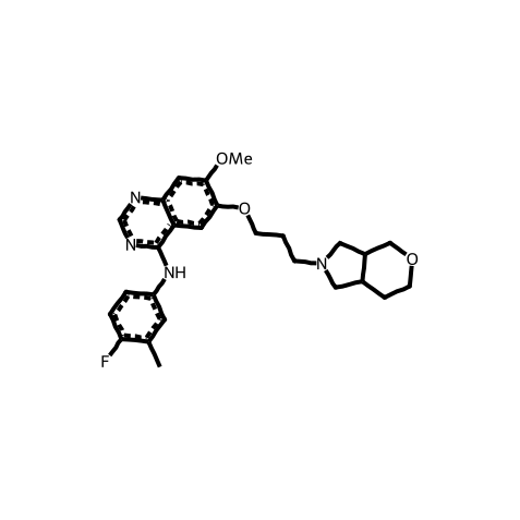 COc1cc2ncnc(Nc3ccc(F)c(C)c3)c2cc1OCCCN1CC2CCOCC2C1